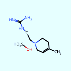 CC1=CCN(CCNC(=N)N)CC1.O=S(=O)(O)O